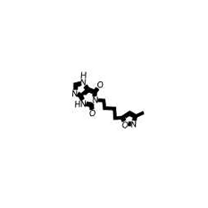 Cc1cc(CCCCn2c(=O)[nH]c3nc[nH]c3c2=O)on1